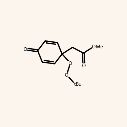 COC(=O)CC1(OOC(C)(C)C)C=CC(=O)C=C1